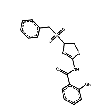 O=C(NC1=NC(S(=O)(=O)Cc2ccccc2)CS1)c1ccccc1O